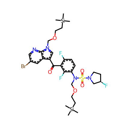 C[Si](C)(C)CCOCN(c1ccc(F)c(C(=O)c2cn(COCC[Si](C)(C)C)c3ncc(Br)cc23)c1F)S(=O)(=O)N1CC[C@@H](F)C1